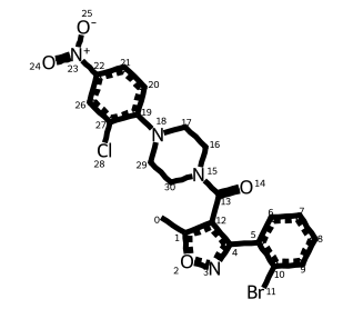 Cc1onc(-c2ccccc2Br)c1C(=O)N1CCN(c2ccc([N+](=O)[O-])cc2Cl)CC1